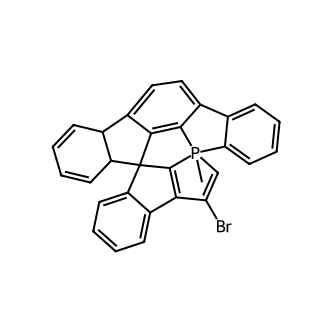 CP123C=C(Br)C4=C1C1(c5ccccc54)c4c(ccc(c42)-c2ccccc23)C2C=CC=CC21